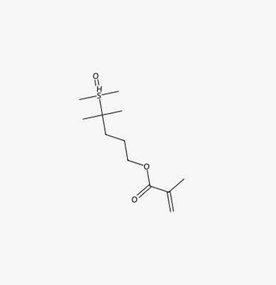 C=C(C)C(=O)OCCCC(C)(C)[SH](C)(C)=O